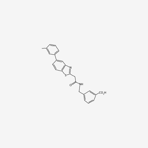 Cc1cccc(-c2ccc3sc(CC(=O)NCc4cccc(C(=O)O)c4)nc3c2)c1